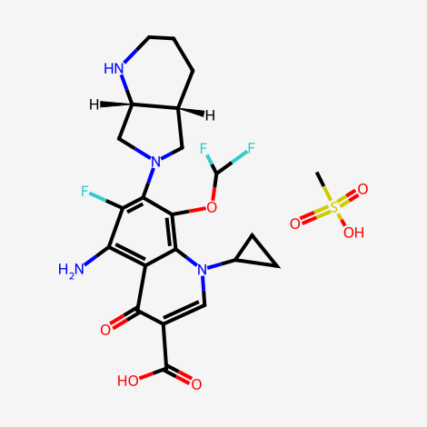 CS(=O)(=O)O.Nc1c(F)c(N2C[C@H]3CCCN[C@H]3C2)c(OC(F)F)c2c1c(=O)c(C(=O)O)cn2C1CC1